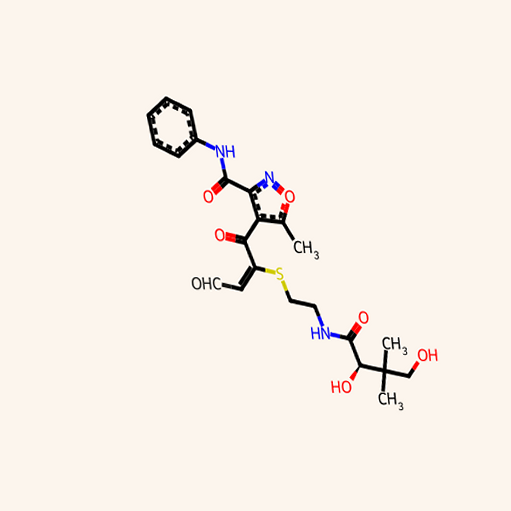 Cc1onc(C(=O)Nc2ccccc2)c1C(=O)/C(=C\C=O)SCCNC(=O)[C@H](O)C(C)(C)CO